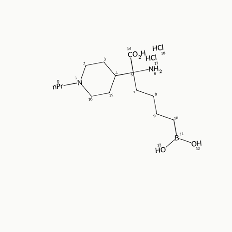 CCCN1CCC(C(N)(CCCCB(O)O)C(=O)O)CC1.Cl.Cl